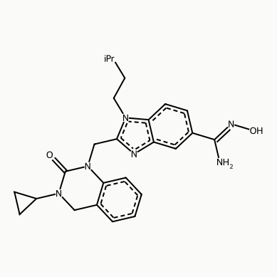 CC(C)CCn1c(CN2C(=O)N(C3CC3)Cc3ccccc32)nc2cc(/C(N)=N/O)ccc21